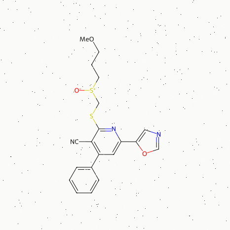 COCCC[S+]([O-])CSc1nc(-c2cnco2)cc(-c2ccccc2)c1C#N